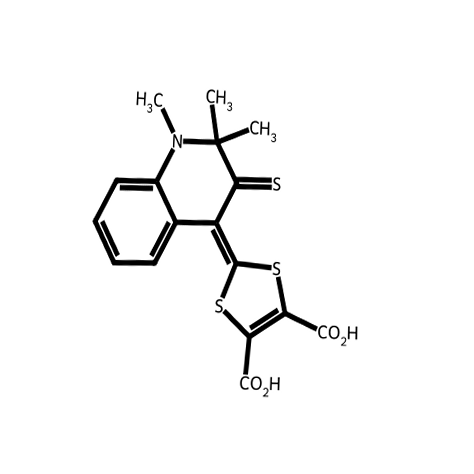 CN1c2ccccc2C(=C2SC(C(=O)O)=C(C(=O)O)S2)C(=S)C1(C)C